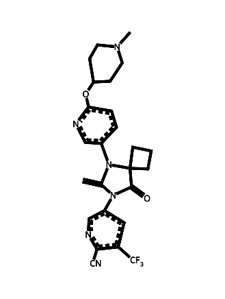 C=C1N(c2cnc(C#N)c(C(F)(F)F)c2)C(=O)C2(CCC2)N1c1ccc(OC2CCN(C)CC2)nc1